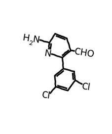 Nc1ccc(C=O)c(-c2cc(Cl)cc(Cl)c2)n1